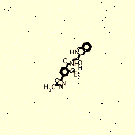 CCOc1cc(-c2nnc(C)o2)ccc1C(=O)NC[C@@H](O)[C@@H]1Cc2ccccc2CN1